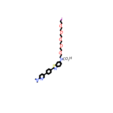 CN(C)c1ccc(-c2ccc(-c3nc4ccc(N(CCOCCOCCOCCOCCOCCI)C(=O)O)cc4s3)cc2)cn1